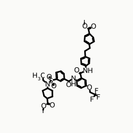 CCN(C1CCC(C(=O)OI)CC1)S(=O)(=O)c1cccc(C(=O)Nc2ccc(OCC(F)(F)F)cc2C(=O)Nc2ccc(CCc3ccc(C(=O)OI)cc3)cc2)c1